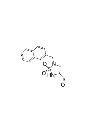 O=CC1CN(Cc2ccc3ccccc3c2)S(=O)(=O)N1